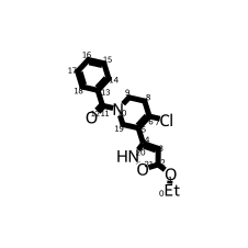 CCOC1C=C(C2=C(Cl)CCN(C(=O)c3ccccc3)C2)NO1